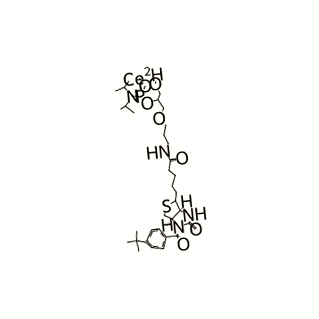 [2H]OCC(COCCCNC(=O)CCCCC1SC[C@H]2[C@@H]1NC(=O)N2C(=O)c1ccc(C(C)(C)C)cc1)OP([O][Ce])N(C(C)C)C(C)C